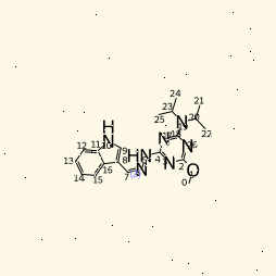 COc1nc(N/N=C\c2c[nH]c3ccccc23)nc(N(C(C)C)C(C)C)n1